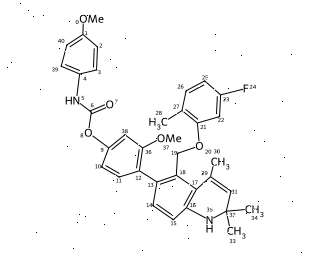 COc1ccc(NC(=O)Oc2ccc(-c3ccc4c(c3COc3cc(F)ccc3C)C(C)=CC(C)(C)N4)c(OC)c2)cc1